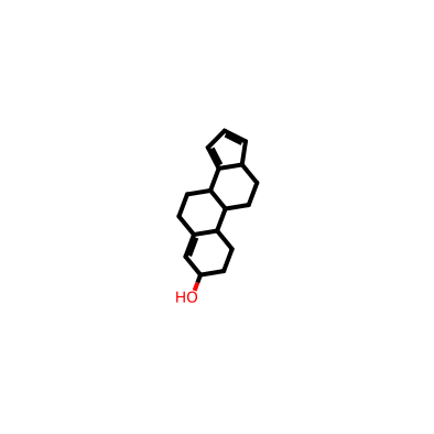 OC1C=C2CCC3C4=CC=CC4CCC3C2CC1